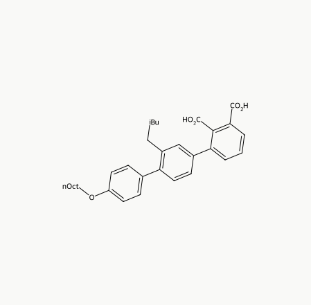 CCCCCCCCOc1ccc(-c2ccc(-c3cccc(C(=O)O)c3C(=O)O)cc2CC(C)CC)cc1